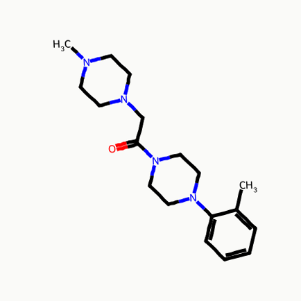 Cc1ccccc1N1CCN(C(=O)CN2CCN(C)CC2)CC1